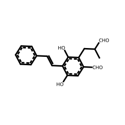 CC(C=O)Cc1c(C=O)cc(O)c(C=Cc2ccccc2)c1O